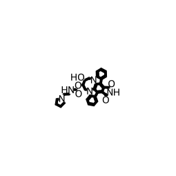 O=C(NCCN1CCCC1)OC1Cn2c3ccccc3c3c4c(c5c6ccccc6n(c5c32)CC1O)C(=O)NC4=O